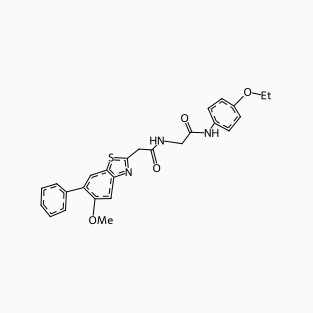 CCOc1ccc(NC(=O)CNC(=O)Cc2nc3cc(OC)c(-c4ccccc4)cc3s2)cc1